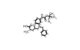 C[C@@H](CC1CN(Cc2ccccc2)c2cc(NC(=O)OC(C)(C)C)ccc2O1)C(=O)O